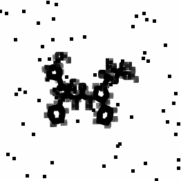 Cc1c(-c2cnn(C)c2)nn(-c2ccccc2)c1NC(=O)N[C@@H]1CN(C(=O)OC(C)(C)C)C[C@H]1c1ccccc1